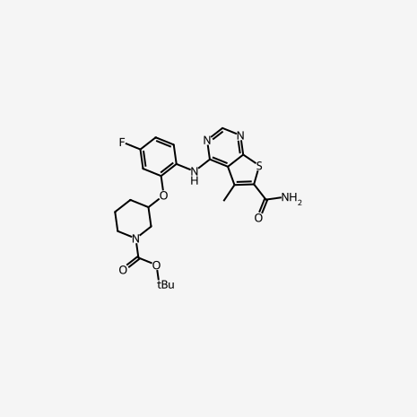 Cc1c(C(N)=O)sc2ncnc(Nc3ccc(F)cc3OC3CCCN(C(=O)OC(C)(C)C)C3)c12